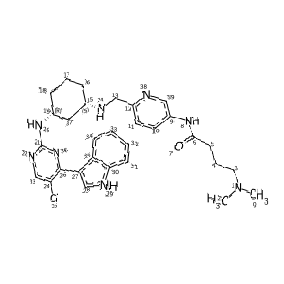 CN(C)CCCC(=O)Nc1ccc(CN[C@H]2CCC[C@@H](Nc3ncc(Cl)c(-c4c[nH]c5ccccc45)n3)C2)nc1